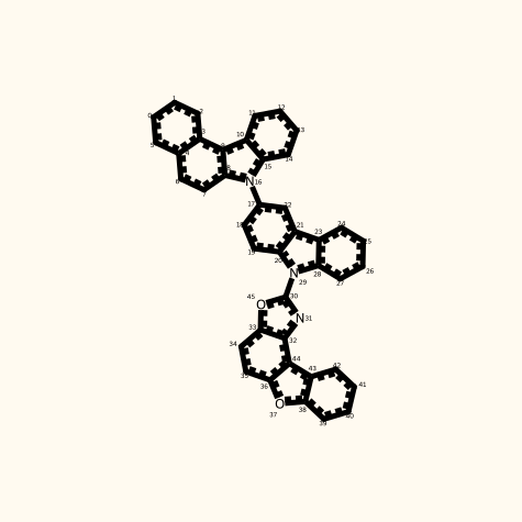 c1ccc2c(c1)ccc1c2c2ccccc2n1-c1ccc2c(c1)c1ccccc1n2-c1nc2c(ccc3oc4ccccc4c32)o1